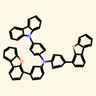 c1cc(-c2cccc3c2oc2ccccc23)cc(N(c2ccc(-c3cccc4c3sc3ccccc34)cc2)c2ccc(-n3c4ccccc4c4ccccc43)cc2)c1